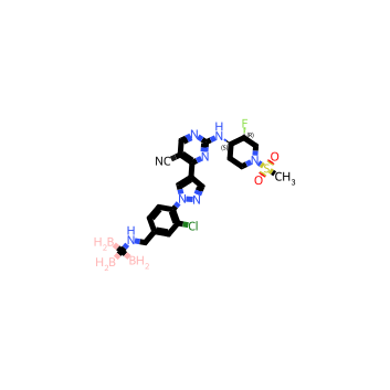 BC(B)(B)NCc1ccc(-n2cc(-c3nc(N[C@H]4CCN(S(C)(=O)=O)C[C@H]4F)ncc3C#N)cn2)c(Cl)c1